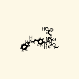 CCOC(=O)N1C(=O)[C@H](CCC(=O)O)N=C1Nc1ccc(CCNc2nc3ccccc3s2)cc1